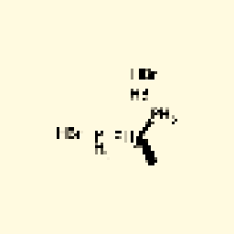 Br.Br.Br.C=CP.P.P